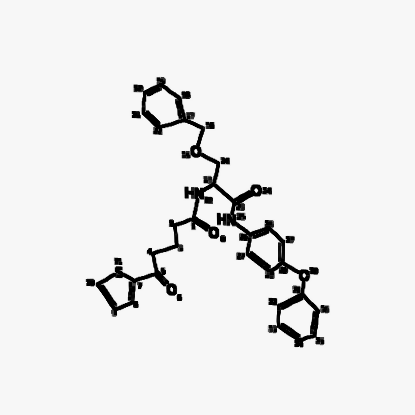 O=C(CCCC(=O)c1cccs1)NC(COCc1ccccc1)C(=O)Nc1ccc(Oc2ccccc2)cc1